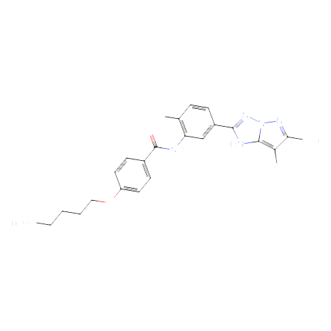 CCCCCCCCCCCCCCOc1ccc(C(=O)Nc2cc(-c3nn4nc(C(C)(C)C)c(Cl)c4[nH]3)ccc2C)cc1